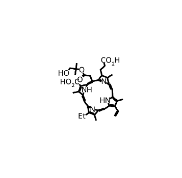 C=Cc1c(C)c2cc3nc(c(CC(=O)OC(C)(C)CO)c4[nH]c(cc5nc(cc1[nH]2)C(C)=C5CC)c(C)c4C(=O)O)C(CCC(=O)O)C3C